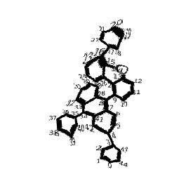 c1ccc(-c2ccc3c(-c4cccc5oc6c(-c7ccccc7)cccc6c45)c4ccccc4c(-c4ccccc4)c3c2)cc1